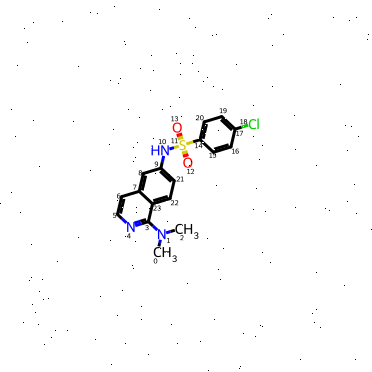 CN(C)c1nccc2cc(NS(=O)(=O)c3ccc(Cl)cc3)ccc12